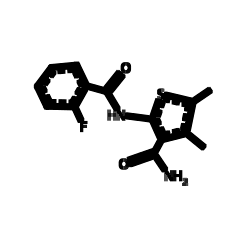 Cc1sc(NC(=O)c2ccccc2F)c(C(N)=O)c1C